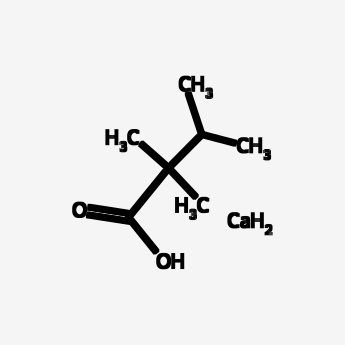 CC(C)C(C)(C)C(=O)O.[CaH2]